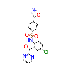 O=C(c1ncccn1)c1cc(Cl)ccc1NS(=O)(=O)c1ccc(-c2cnco2)cc1